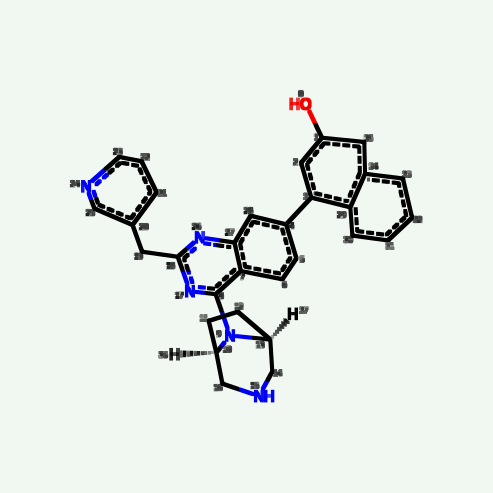 Oc1cc(-c2ccc3c(N4[C@@H]5CC[C@H]4CNC5)nc(Cc4cccnc4)nc3c2)c2ccccc2c1